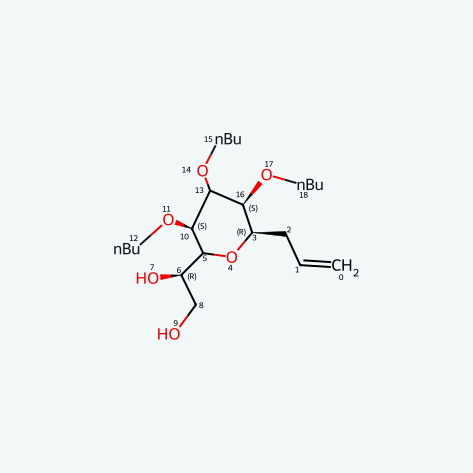 C=CC[C@H]1OC([C@H](O)CO)[C@@H](OCCCC)C(OCCCC)[C@H]1OCCCC